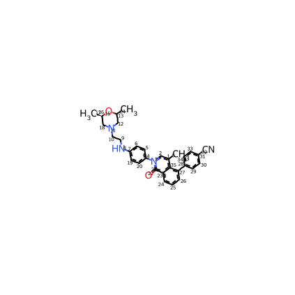 Cc1cn(-c2ccc(NCCN3CC(C)O[C@H](C)C3)cc2)c(=O)c2cccc(-c3ccc(C#N)cc3)c12